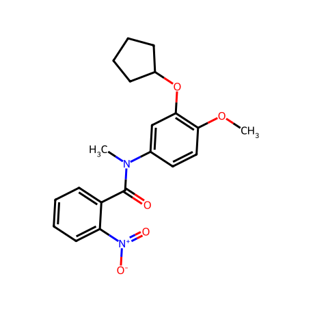 COc1ccc(N(C)C(=O)c2ccccc2[N+](=O)[O-])cc1OC1CCCC1